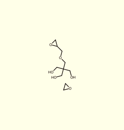 C1CO1.OCC(CO)(CO)COCC1CO1